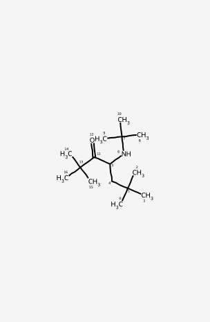 CC(C)(C)CC(NC(C)(C)C)C(=O)C(C)(C)C